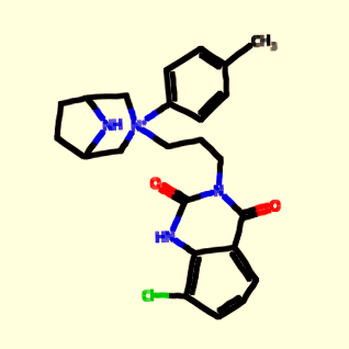 Cc1ccc([N+]2(CCCn3c(=O)[nH]c4c(Cl)cccc4c3=O)CC3CCC(C2)N3)cc1